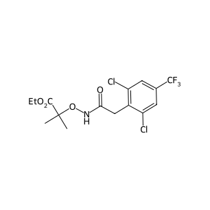 CCOC(=O)C(C)(C)ONC(=O)Cc1c(Cl)cc(C(F)(F)F)cc1Cl